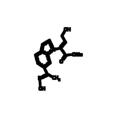 COC(=O)/C(=C/CO)n1ccc2ccc(/C(C)=N/O)cc21